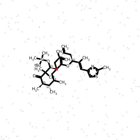 C=CC[C@H](OC(=O)C[C@H](O[Si](C)(C)C(C)(C)C)C(C)(C)C(=O)[C@H](C)[C@@H](C)C(C)CCCC(=C)C)/C(C)=C/c1csc(C)n1